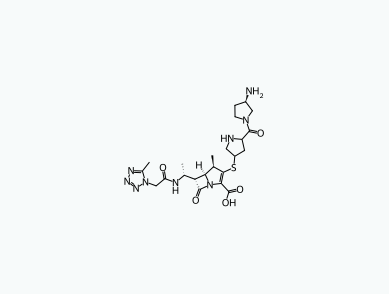 Cc1nnnn1CC(=O)N[C@H](C)[C@H]1C(=O)N2C(C(=O)O)=C(SC3CNC(C(=O)N4CC[C@@H](N)C4)C3)[C@H](C)[C@H]12